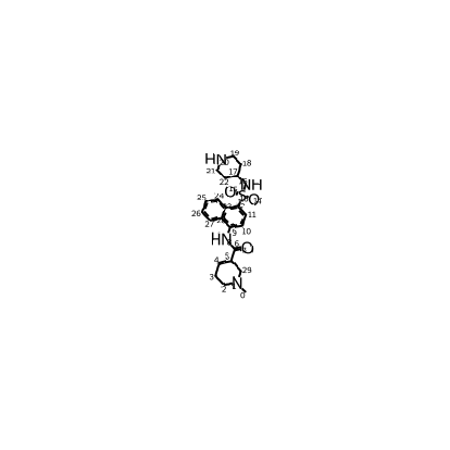 CN1CCCC(C(=O)Nc2ccc(S(=O)(=O)NC3CCNCC3)c3ccccc23)C1